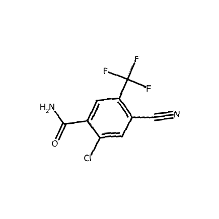 N#Cc1cc(Cl)c(C(N)=O)cc1C(F)(F)F